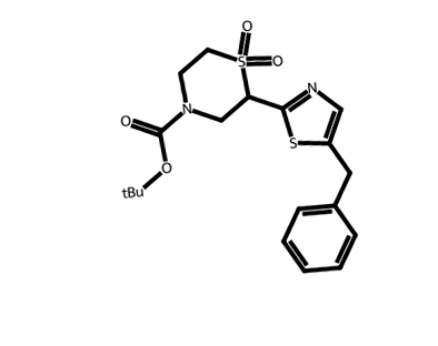 CC(C)(C)OC(=O)N1CCS(=O)(=O)C(c2ncc(Cc3ccccc3)s2)C1